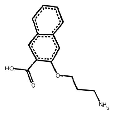 NCCCOc1cc2ccccc2cc1C(=O)O